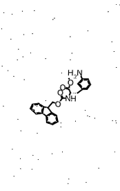 COC(=O)[C@H](Cc1cccc(N)c1)NC(=O)OCC1c2ccccc2-c2ccccc21